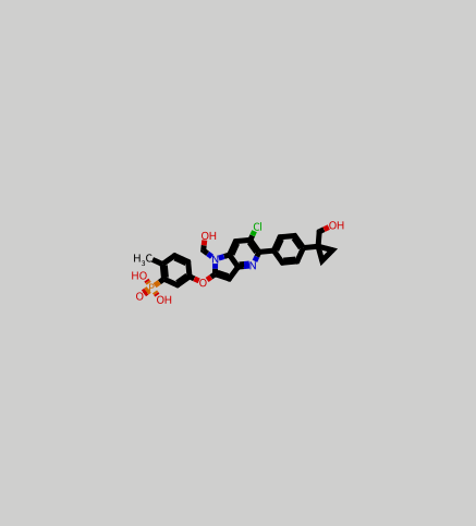 Cc1ccc(Oc2cc3nc(-c4ccc(C5(CO)CC5)cc4)c(Cl)cc3n2CO)cc1P(=O)(O)O